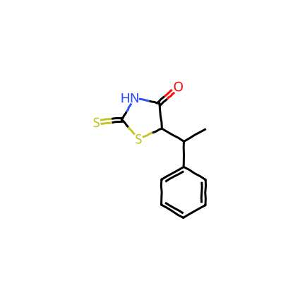 CC(c1ccccc1)C1SC(=S)NC1=O